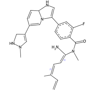 C=C/C(C)=C\C=C(/N)N(C)C(=O)c1ccc(C2=CNC3C=CC(C4=CN(C)NC4)=CN23)cc1F